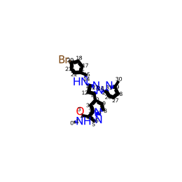 CNC(=O)c1cnn2ccc(-c3cc(NCc4ccc(Br)cc4)nn3-c3cccc(C)n3)cc12